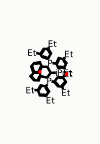 CCc1cc(CC)cc(P(c2cc(CC)cc(CC)c2)C(c2ccccc2)C(C(C)C)C(c2ccccc2)P(c2cc(CC)cc(CC)c2)c2cc(CC)cc(CC)c2)c1